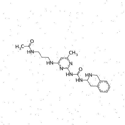 CC(=O)NCCCNc1cc(C)nc(NC(=O)NC2Cc3ccccc3CN2)n1